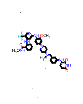 CNC(=O)c1ccccc1Nc1cc(Nc2ccc(N3CCC(N(C)Cc4cccc(NC5CCC(=O)NC5=O)c4)CC3)cc2OC)ncc1C(F)(F)F